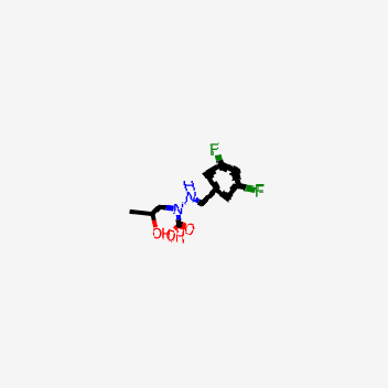 CC(O)CN(NCc1cc(F)cc(F)c1)C(=O)O